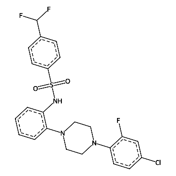 O=S(=O)(Nc1ccccc1N1CCN(c2ccc(Cl)cc2F)CC1)c1ccc(C(F)F)cc1